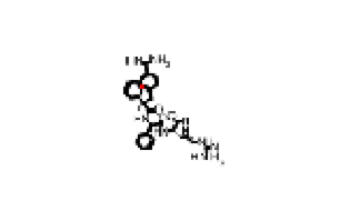 C[C@@](Cc1ccc(C(=N)N)cc1)(C(=O)N[C@H](C(=O)N[C@@H](CCCNC(=N)N)C(N)=O)c1ccccc1)c1ccccc1